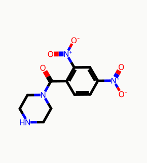 O=C(c1ccc([N+](=O)[O-])cc1[N+](=O)[O-])N1CCNCC1